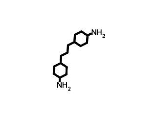 NC1CCC(CCCC2CCC(N)CC2)CC1